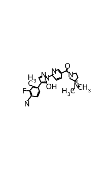 Cc1c(-c2cnn(-c3ccc(C(=O)N4CC[C@H](N(C)C)C4)cn3)c2O)ccc(C#N)c1F